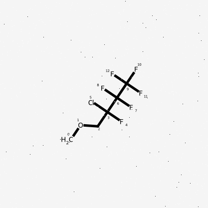 [CH2]OCC(F)(Cl)C(F)(F)C(F)(F)F